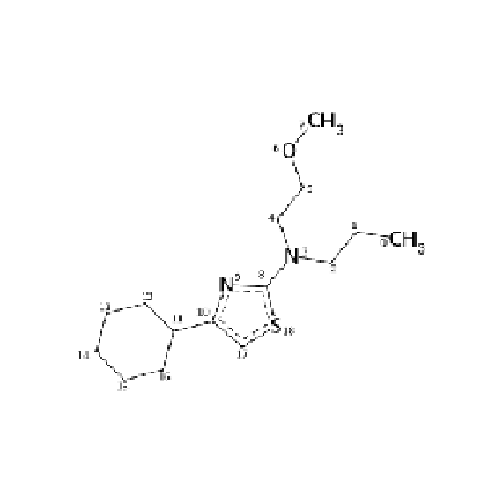 CCCN(CCOC)c1nc(C2CCCCC2)cs1